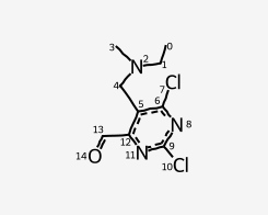 CCN(C)Cc1c(Cl)nc(Cl)nc1C=O